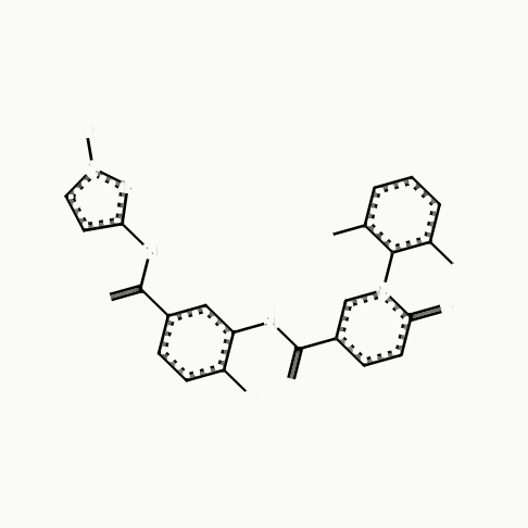 Cn1ccc(NC(=O)c2ccc(Br)c(NC(=O)c3ccc(=O)n(-c4c(F)cccc4F)c3)c2)n1